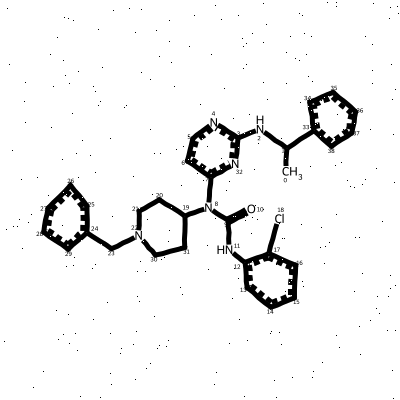 CC(Nc1nccc(N(C(=O)Nc2ccccc2Cl)C2CCN(Cc3ccccc3)CC2)n1)c1ccccc1